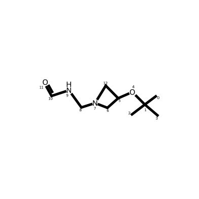 CC(C)(C)OC1CN(CNC=O)C1